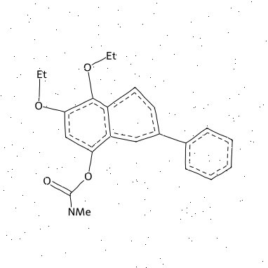 CCOc1cc(OC(=O)NC)c2cc(-c3ccccc3)ccc2c1OCC